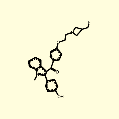 Cn1c(-c2ccc(O)cc2)c(C(=O)c2ccc(OCCN3CC(CF)C3)cc2)c2ccccc21